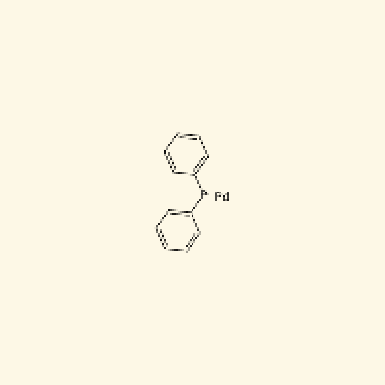 [Pd].c1ccc([P]c2ccccc2)cc1